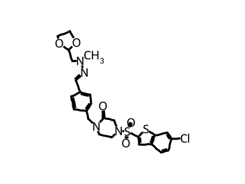 CN(CC1OCCO1)N=Cc1ccc(CN2CCN(S(=O)(=O)c3cc4ccc(Cl)cc4s3)CC2=O)cc1